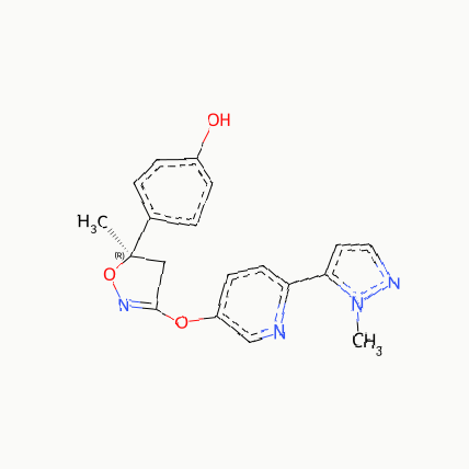 Cn1nccc1-c1ccc(OC2=NO[C@@](C)(c3ccc(O)cc3)C2)cn1